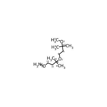 COC(C)(C)CCOC(C)(C)CCON